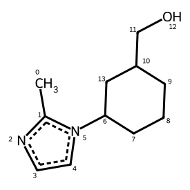 Cc1nccn1C1CCCC(CO)C1